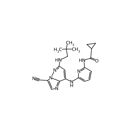 CC(C)(C)CNc1cc(Nc2cccc(NC(=O)C3CC3)n2)c2ncc(C#N)n2n1